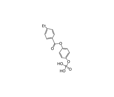 CCc1ccc(C(=O)Oc2ccc(OP(=O)(O)O)cc2)cc1